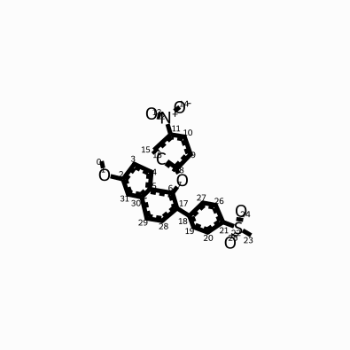 COc1ccc2c(Oc3ccc([N+](=O)[O-])cc3)c(-c3ccc(S(C)(=O)=O)cc3)ccc2c1